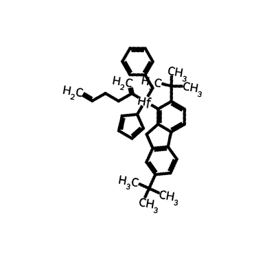 C=CCC[C](=C)[Hf]([CH2]c1ccccc1)([c]1c(C(C)(C)C)ccc2c1Cc1cc(C(C)(C)C)ccc1-2)[CH]1C=CC=C1